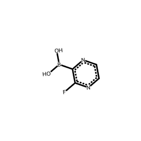 OB(O)c1nccnc1F